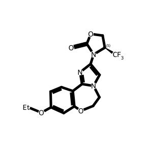 CCOc1ccc2c(c1)OCCn1cc(N3C(=O)OC[C@H]3C(F)(F)F)nc1-2